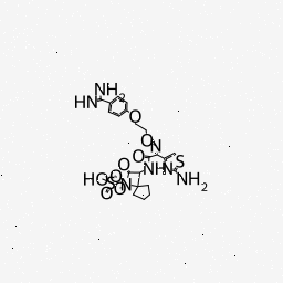 N=C(N)c1ccc(OCCO/N=C(\C(=O)NC2C(=O)N(OS(=O)(=O)O)C23CCCC3)c2csc(N)n2)cc1